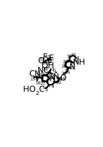 Cn1nc(CC(CC(=O)O)c2cc(C(C)(C)C#N)cc(C(C)(C)C#N)c2)cc1OCCc1ccc2c(n1)NCCC2.O=C(O)C(F)(F)F